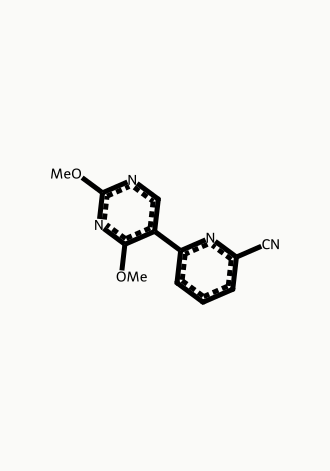 COc1ncc(-c2cccc(C#N)n2)c(OC)n1